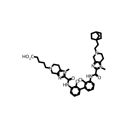 Cn1c(C(=O)Nc2cccc(-c3cccc(NC(=O)c4nc5c(n4C)CCN(CCC46CCC(CC4)C6)C5)c3Cl)c2Cl)nc2c1CCN(CCCCC(=O)O)C2